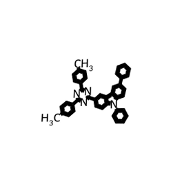 Cc1ccc(-c2nc(-c3ccc(C)cc3)nc(-c3ccc4c(c3)c3cc(-c5ccccc5)ccc3n4-c3ccccc3)n2)cc1